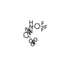 CS(=O)(=O)OCc1cccc2nc(Nc3ccc(C(F)(F)F)cc3)nn12